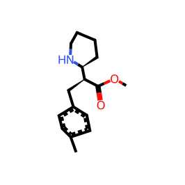 COC(=O)[C@@H](Cc1ccc(C)cc1)[C@@H]1CCCCN1